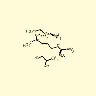 CC(N)=O.CC(O)CO.N=C(N)NCCC[C@H](N)C(=O)O.NCC(=O)O